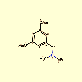 CCCN(C)Cc1cc(OC)cc(OC)c1